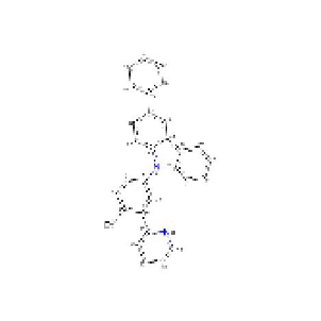 CCc1ccc(-n2c3ccccc3c3cc(-c4ccccc4)ccc32)cc1-c1ccccn1